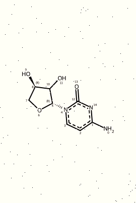 Nc1ccn([C@@H]2OC[C@@H](O)C2O)c(=O)n1